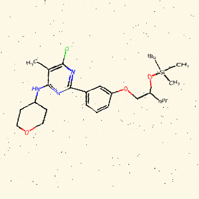 CCCC(COc1cccc(-c2nc(Cl)c(C)c(NC3CCOCC3)n2)c1)O[Si](C)(C)C(C)(C)C